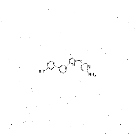 CCCc1cccc(-c2cccc(-c3ccn(Cc4ccc(N)nc4)n3)c2)c1